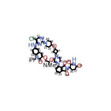 CNC(=O)COc1cc2cc(Nc3nc(N4CCC(OC5CC(N6CCN(c7cccc8c7C(=O)N([C@@H]7CCC(=O)NC7=O)C8=O)CC6)C5)CC4)ncc3Cl)ccc2n(C(C)C)c1=O